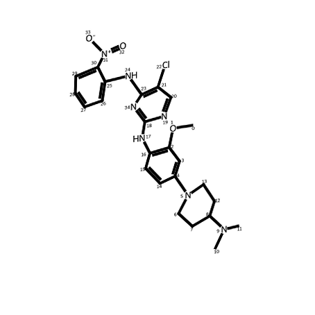 COc1cc(N2CCC(N(C)C)CC2)ccc1Nc1ncc(Cl)c(Nc2ccccc2[N+](=O)[O-])n1